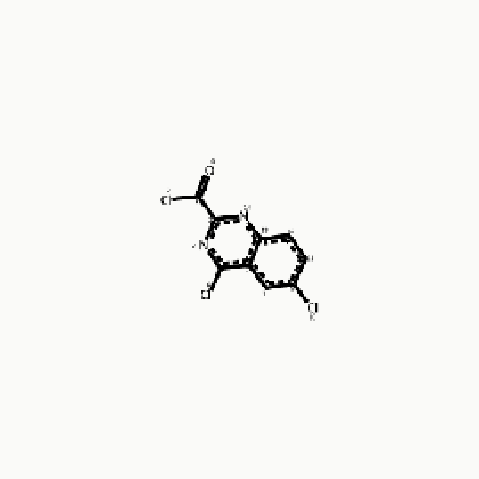 O=C(Cl)c1nc(Cl)c2cc(Cl)ccc2n1